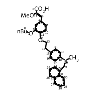 CCCCOc1cc(/C=C(\OC)C(=O)O)ccc1OCCc1ccc(N(C)Cc2cccc3ccccc23)cc1